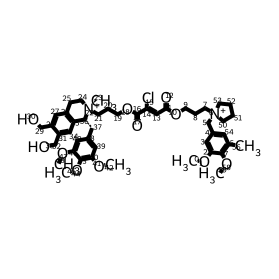 COc1cc(C[N+]2(CCCOC(=O)/C=C(\Cl)C(=O)OCCC[N@+]3(C)CCc4cc(CO)c(CO)cc4[C@H]3Cc3cc(OC)c(OC)c(OC)c3)CCCC2)cc(C)c1OC